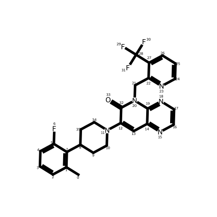 Cc1cccc(F)c1C1CCN(c2cc3nccnc3n(Cc3ncccc3C(F)(F)F)c2=O)CC1